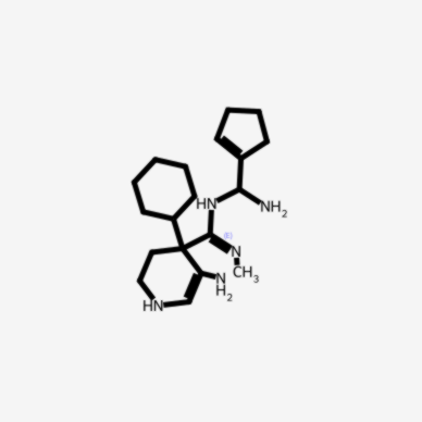 C/N=C(/NC(N)C1=CCCC1)C1(C2CCCCC2)CCNC=C1N